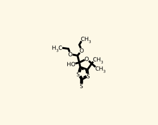 CCOC(OCC)C1(O)OC(C)(C)c2sc(=S)sc21